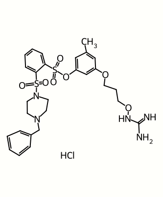 Cc1cc(OCCCONC(=N)N)cc(OS(=O)(=O)c2ccccc2S(=O)(=O)N2CCN(Cc3ccccc3)CC2)c1.Cl